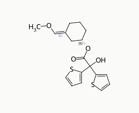 CO/C=C1\CCC[C@H](OC(=O)C(O)(c2cccs2)c2cccs2)C1